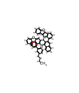 Bc1c(N(c2ccc(CCCC)cc2-c2ccccc2)c2c3c(cc4ccccc24)-c2cccc4c5oc6ccccc6c5n(c24)C3)ccc2oc3ccccc3c12